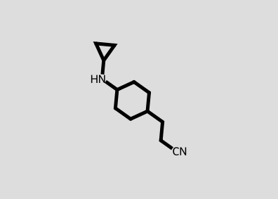 N#CCCC1CCC(NC2CC2)CC1